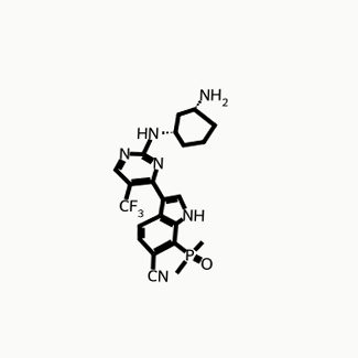 CP(C)(=O)c1c(C#N)ccc2c(-c3nc(N[C@H]4CCC[C@@H](N)C4)ncc3C(F)(F)F)c[nH]c12